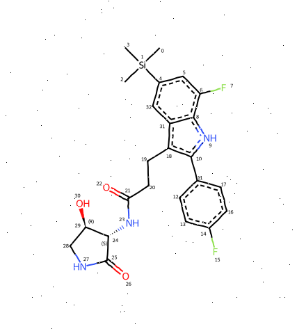 C[Si](C)(C)c1cc(F)c2[nH]c(-c3ccc(F)cc3)c(CCC(=O)N[C@@H]3C(=O)NC[C@H]3O)c2c1